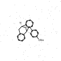 COc1ccc(C[N@+]2(C)[C@H]3Cc4ccccc4[C@]2(C)c2ccccc23)cc1